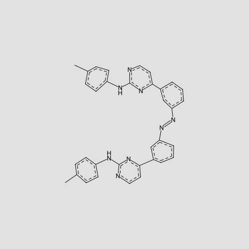 Cc1ccc(Nc2nccc(-c3cccc(N=Nc4cccc(-c5ccnc(Nc6ccc(C)cc6)n5)c4)c3)n2)cc1